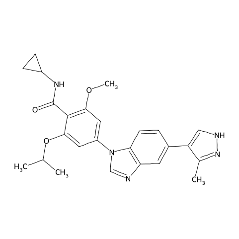 COc1cc(-n2cnc3cc(-c4c[nH]nc4C)ccc32)cc(OC(C)C)c1C(=O)NC1CC1